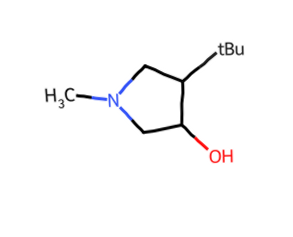 CN1CC(O)C(C(C)(C)C)C1